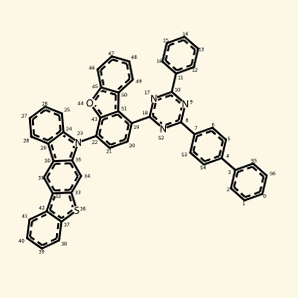 c1ccc(-c2ccc(-c3nc(-c4ccccc4)nc(-c4ccc(-n5c6ccccc6c6cc7c(cc65)sc5ccccc57)c5oc6ccccc6c45)n3)cc2)cc1